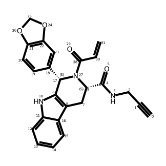 C#CCNC(=O)[C@@H]1Cc2c([nH]c3ccccc23)[C@H](c2ccc3c(c2)OCO3)N1C(=O)C=C